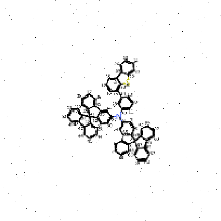 c1ccc(C2(c3ccc(N(c4cccc(-c5cccc6c5sc5ccccc56)c4)c4ccc5c(c4)-c4ccccc4C54c5ccccc5-c5ccccc54)cc3)c3ccccc3-c3ccccc32)cc1